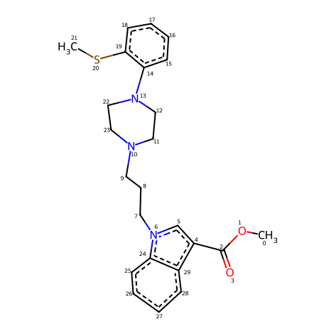 COC(=O)c1cn(CCCN2CCN(c3ccccc3SC)CC2)c2ccccc12